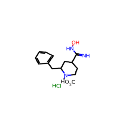 Cl.N=C(NO)C1CCN(C(=O)O)C(Cc2ccccc2)C1